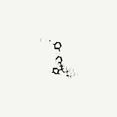 N/N=C\N(N)CC(N=O)(c1ccc(F)cc1F)C(F)(F)c1ccc(OCc2cccc(OCC(F)(F)F)c2)cn1